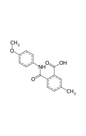 COc1ccc(NC(=O)c2ccc(C)cc2C(=O)O)cc1